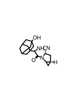 N#C[C@@H]1C[C@@H]2CC2N1C(=O)C(N)C12CC3CC(CC(O)(C3)C1)C2